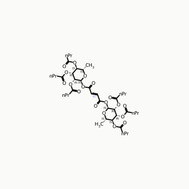 CCCC(=O)O[C@@H]1[C@@H](OC(=O)CCC)[C@H](C)O[C@@H](OC(=O)/C=C/C(=O)O[C@@H]2O[C@@H](C)[C@H](OC(=O)CCC)[C@@H](OC(=O)CCC)[C@H]2OC(=O)CCC)[C@@H]1OC(=O)CCC